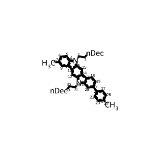 CCCCCCCCCCCCn1c2ccc(C)cc2c2cc3c(cc21)c1ccc(-c2ccc(C)cc2)cc1n3CCCCCCCCCCCC